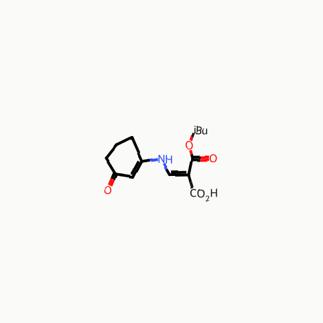 CCC(C)OC(=O)C(=CNC1=CC(=O)CCC1)C(=O)O